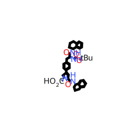 CC(C)(C)OC(=O)NC(Cc1ccc(C2=CC(C(=O)N[C@@H]3CCCc4ccccc43)N(C(=O)O)C2)cc1)C(=O)N[C@@H]1CCCc2ccccc21